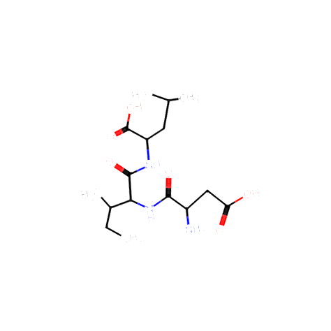 CCC(C)C(NC(=O)C(N)CC(=O)O)C(=O)NC(CC(C)C)C(=O)O